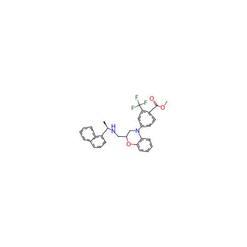 COC(=O)c1ccc(N2CC(CN[C@H](C)c3cccc4ccccc34)Oc3ccccc32)cc1C(F)(F)F